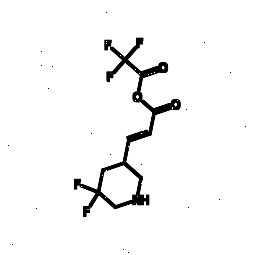 O=C(/C=C/C1CNCC(F)(F)C1)OC(=O)C(F)(F)F